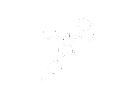 C[C@@H]1CC(C#N)CCN1c1cnc2c(N3CCCc4ncccc43)nn(C3CCCCO3)c2n1